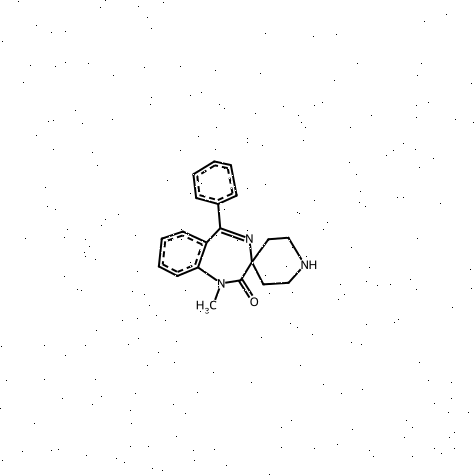 CN1C(=O)C2(CCNCC2)N=C(c2ccccc2)c2ccccc21